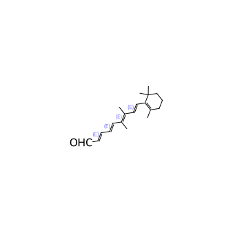 CC1=C(/C=C/C(C)=C(C)/C=C/C=C/C=O)C(C)(C)CCC1